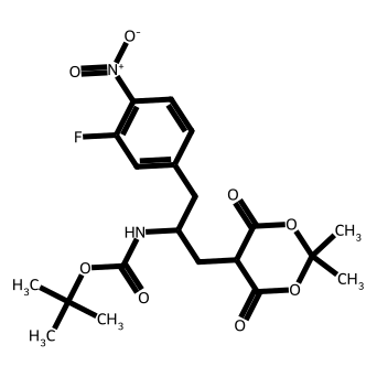 CC(C)(C)OC(=O)NC(Cc1ccc([N+](=O)[O-])c(F)c1)CC1C(=O)OC(C)(C)OC1=O